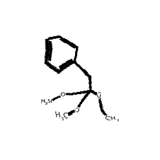 COC(Cc1ccccc1)(OC)O[SiH3]